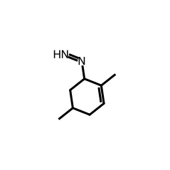 CC1=CCC(C)CC1N=N